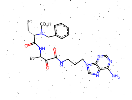 CCC(NC(=O)[C@H](CC(C)C)N(Cc1ccccc1)C(=O)O)C(=O)C(=O)NCCCn1cnc2c(N)ncnc21